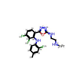 CCCNCCNc1nnc(-c2ccc(F)c(F)c2Nc2ccc(C)cc2F)o1